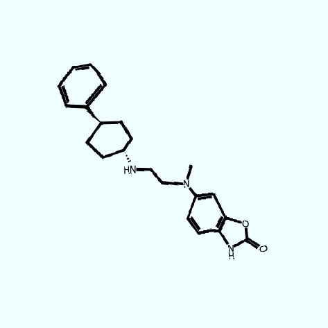 CN(CCN[C@H]1CC[C@H](c2ccccc2)CC1)c1ccc2[nH]c(=O)oc2c1